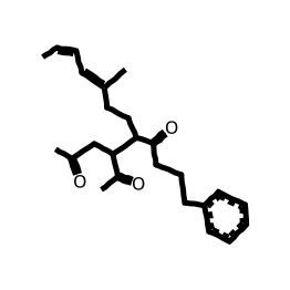 C/C=C\C=C(/C)CCC(C(=O)CCCc1ccccc1)C(CC(C)=O)C(C)=O